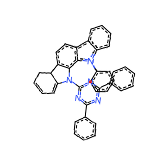 C1=CCC2C(=C1)N(c1nc(-c3ccccc3)nc(-c3ccccc3)n1)c1c2ccc2c3ccccc3n(-c3ccccc3)c12